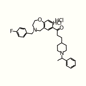 CC(c1ccccc1)N1CCC(CCC(=O)c2ccc3c(c2)CN(Cc2ccc(F)cc2)CCO3)CC1.Cl.Cl